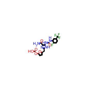 NC(=O)c1nc(Cc2ccc(OC(=O)O)o2)[nH]c1NC(=O)Nc1cc(C(F)(F)F)ccc1F